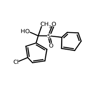 CC(O)(c1cccc(Cl)c1)S(=O)(=O)c1ccccc1